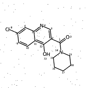 O=C(c1cnc2cc(Cl)ccc2c1O)N1CCCCC1